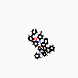 FC(F)(F)c1ccc(N(c2cc3c(c4ccccc24)-c2c(ccc4ccccc24)C32c3ccccc3N(c3ccccc3)c3ccccc32)c2cccc3c2oc2c(C4CCCCC4)cccc23)cc1